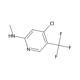 CNc1cc(Cl)c(C(F)(F)F)cn1